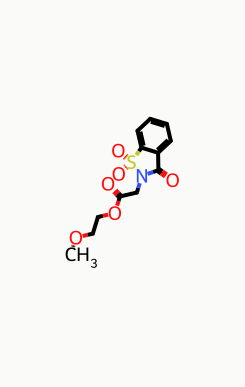 COCCOC(=O)CN1C(=O)c2ccccc2S1(=O)=O